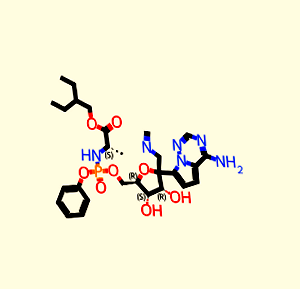 C=NCC1(c2ccc3c(N)ncnn23)O[C@H](COP(=O)(N[C@@H](C)C(=O)OCC(CC)CC)Oc2ccccc2)[C@@H](O)[C@H]1O